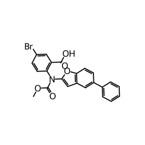 COC(=O)N(c1cc2cc(-c3ccccc3)ccc2o1)c1ccc(Br)cc1C(=O)O